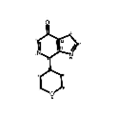 O=C1C=NC(C2CCOCC2)C2=C1CC=N2